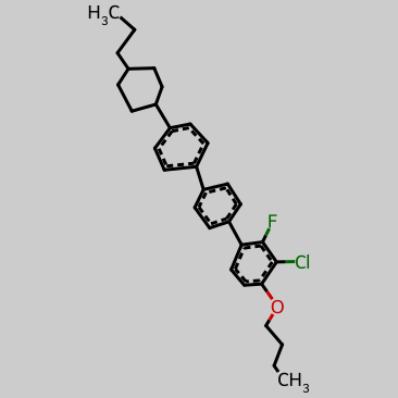 CCCCOc1ccc(-c2ccc(-c3ccc(C4CCC(CCC)CC4)cc3)cc2)c(F)c1Cl